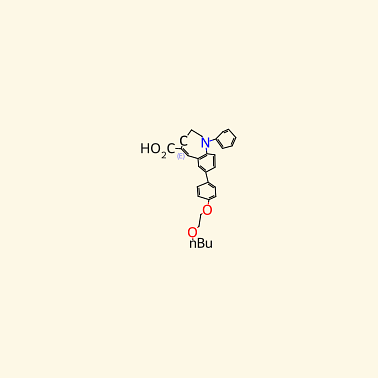 CCCCOCCOc1ccc(-c2ccc3c(c2)/C=C(/C(=O)O)CCCN3c2ccccc2)cc1